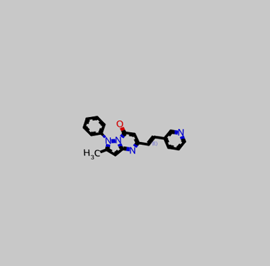 Cc1cc2nc(/C=C/c3cccnc3)cc(=O)n2n1-c1ccccc1